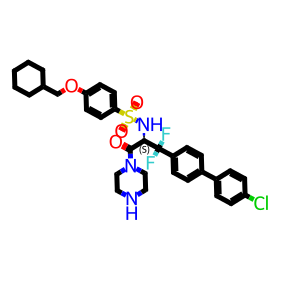 O=C([C@H](NS(=O)(=O)c1ccc(OCC2CCCCC2)cc1)C(F)(F)c1ccc(-c2ccc(Cl)cc2)cc1)N1CCNCC1